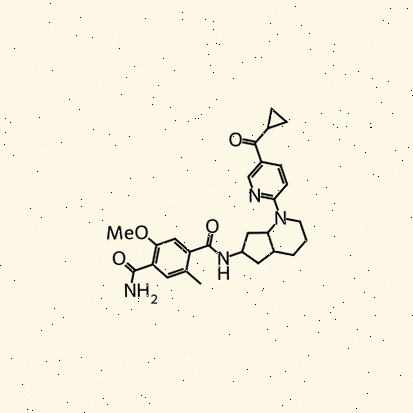 COc1cc(C(=O)NC2CC3CCCN(c4ccc(C(=O)C5CC5)cn4)C3C2)c(C)cc1C(N)=O